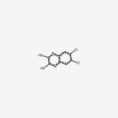 Sc1nc2cc(Cl)c(Cl)cc2nc1S